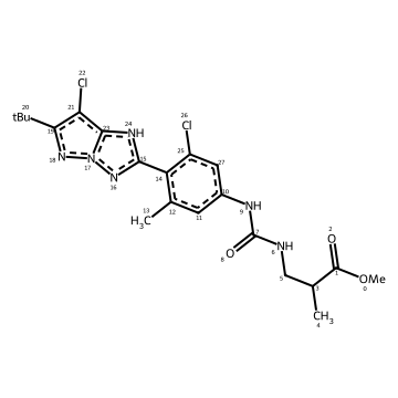 COC(=O)C(C)CNC(=O)Nc1cc(C)c(-c2nn3nc(C(C)(C)C)c(Cl)c3[nH]2)c(Cl)c1